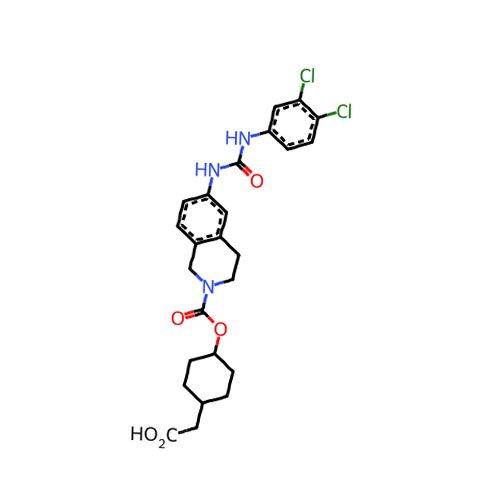 O=C(O)CC1CCC(OC(=O)N2CCc3cc(NC(=O)Nc4ccc(Cl)c(Cl)c4)ccc3C2)CC1